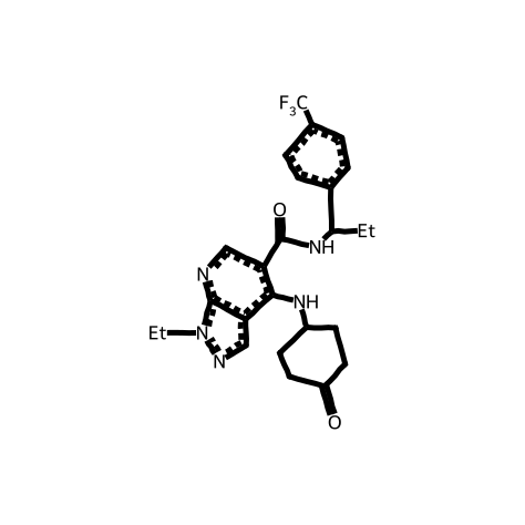 CCC(NC(=O)c1cnc2c(cnn2CC)c1NC1CCC(=O)CC1)c1ccc(C(F)(F)F)cc1